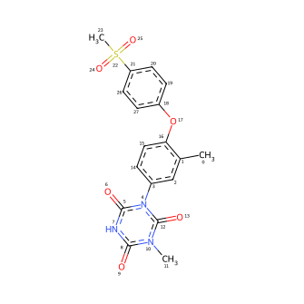 Cc1cc(-n2c(=O)[nH]c(=O)n(C)c2=O)ccc1Oc1ccc(S(C)(=O)=O)cc1